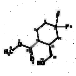 COC(=O)[C@@H]1CCC(F)(F)C[C@H]1CO